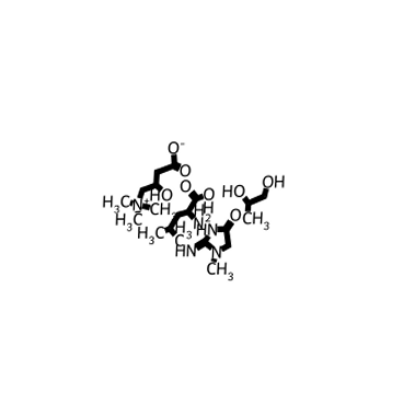 CC(C)CC(N)C(=O)O.CC(O)CO.CN1CC(=O)NC1=N.C[N+](C)(C)CC(O)CC(=O)[O-]